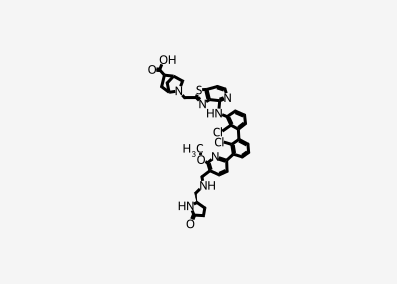 COc1nc(-c2cccc(-c3cccc(Nc4nccc5sc(CN6CC7CC6CC7C(=O)O)nc45)c3Cl)c2Cl)ccc1CNC[C@H]1CCC(=O)N1